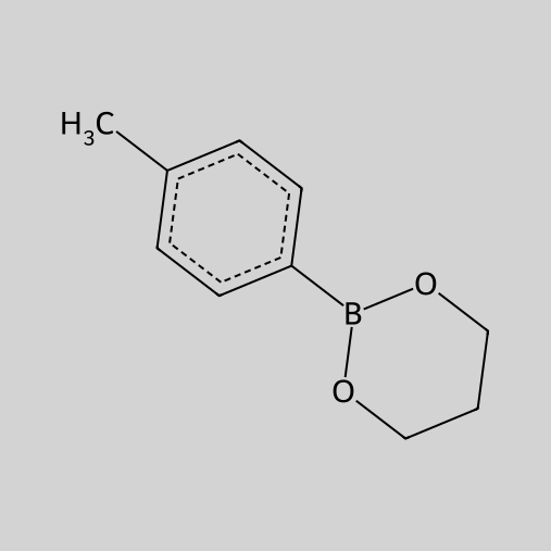 Cc1ccc(B2OCCCO2)cc1